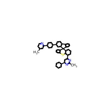 Cc1ccnc(-c2ccc(-c3ccc4c(c3)C3(c5ccccc5Sc5c(-c6cc(-c7ccccc7)nc(C)n6)cccc53)c3ccccc3-4)cc2)c1